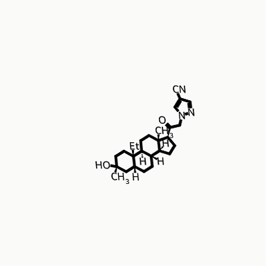 CC[C@]12CC[C@@](C)(O)C[C@H]1CC[C@H]1[C@@H]3CC[C@H](C(=O)Cn4cc(C#N)cn4)[C@@]3(C)CC[C@@H]12